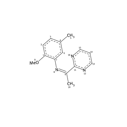 COc1ccc(C)cc1N=C(C)c1ncccn1